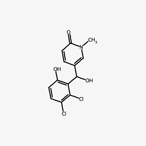 Cn1cc(C(O)c2c(O)ccc(Cl)c2Cl)ccc1=O